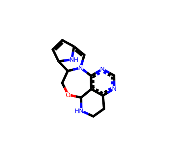 C1=CC2NC1=CN1c3ncnc4c3C(NCC4)OCC21